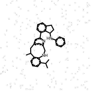 CC(C)c1cccc2c1NCc1cc(cc(-c3cccc4c3C(Nc3ccccc3)CC4)n1)CC2C